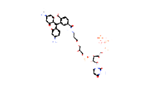 CN(C)c1ccc2c(-c3cc(C(=O)NCCCOCC(O)COP(=O)(O)O[C@H]4C(O)[C@@H](COP(=O)(O)OP(=O)(O)OP(=O)(O)O)O[C@H]4n4ccc(=O)[nH]c4=O)ccc3C(=O)O)c3ccc(=[N+](C)C)cc-3oc2c1